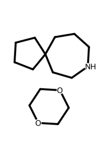 C1CCC2(C1)CCCNCC2.C1COCCO1